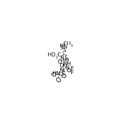 Cc1nsc(SCC2=C(C(=O)O)N3C(=O)C(NC(=O)C(=NOC(F)F)c4csc(NC(c5ccccc5)(c5ccccc5)c5ccccc5)n4)[C@@H]3SC2)n1